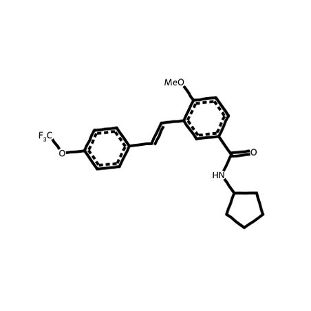 COc1ccc(C(=O)NC2CCCC2)cc1/C=C/c1ccc(OC(F)(F)F)cc1